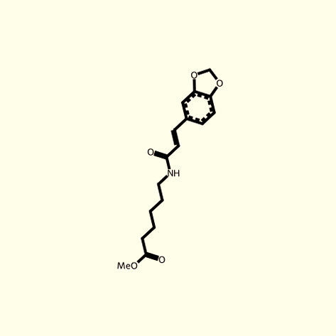 COC(=O)CCCCCNC(=O)/C=C/c1ccc2c(c1)OCO2